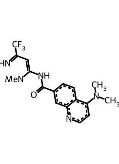 CN/C(=C\C(=N)C(F)(F)F)NC(=O)c1ccc2c(N(C)C)ccnc2c1